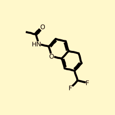 CC(=O)NC1=CC=C2CC=C(C(F)F)C=C2O1